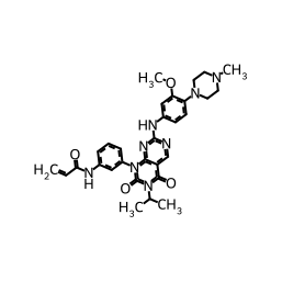 C=CC(=O)Nc1cccc(-n2c(=O)n(C(C)C)c(=O)c3cnc(Nc4ccc(N5CCN(C)CC5)c(OC)c4)nc32)c1